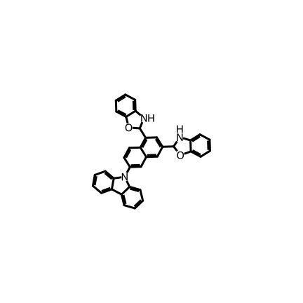 c1ccc2c(c1)NC(c1cc(C3Nc4ccccc4O3)c3ccc(-n4c5ccccc5c5ccccc54)cc3c1)O2